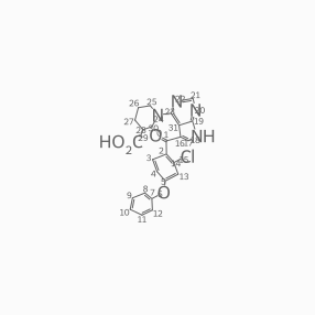 O=C(c1ccc(Oc2ccccc2)cc1Cl)c1c[nH]c2ncnc(N3CCCC(C(=O)O)C3)c12